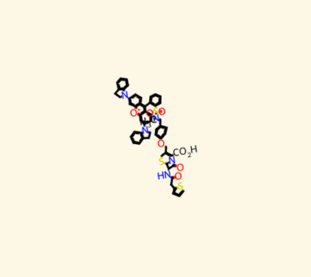 CN(Cc1ccc(OCC2=C(C(=O)O)N3C(=O)[C@@H](NC(=O)Cc4cccs4)C3SC2)cc1)S(=O)(=O)c1ccccc1-c1c2ccc(N3CCc4ccccc43)cc2[o+]c2cc(N3CCc4ccccc43)ccc12